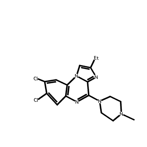 CCc1cn2c(n1)c(N1CCN(C)CC1)nc1cc(Cl)c(Cl)cc12